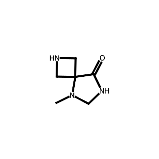 CN1CNC(=O)C12CNC2